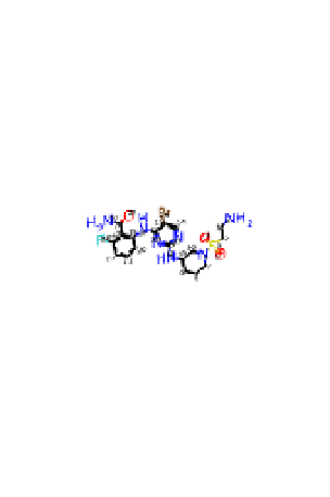 NCCS(=O)(=O)N1CCCC(Nc2ncc(Br)c(Nc3cccc(F)c3C(N)=O)n2)C1